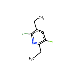 CCc1cc(F)c(CC)nc1Cl